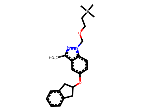 C[Si](C)(C)CCOCn1nc(C(=O)O)c2cc(OC3Cc4ccccc4C3)ccc21